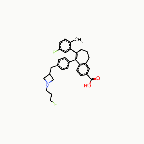 Cc1ccc(F)cc1C1=C(c2ccc(CC3CN(CCCF)C3)cc2)c2ccc(C(=O)O)cc2CCC1